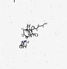 CCCCON1C(=O)N2C[C@@H]1CC[C@H]2/C=N/O